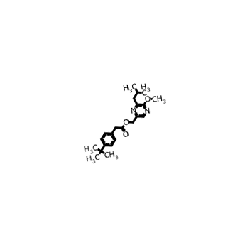 COc1ncc(COC(=O)Cc2ccc(C(C)(C)C)cc2)nc1CC(C)C